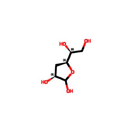 OC[C@@H](O)[C@@H]1C[C@@H](O)C(O)O1